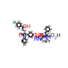 CC(C)C[C@@H](NC(=O)COc1ccc([C@@H]2[C@@H](CCC(O)c3ccc(F)cc3)C(=O)N2c2ccc(F)cc2)cc1)C(=O)N[C@H](Cc1ccccc1)C(=O)O